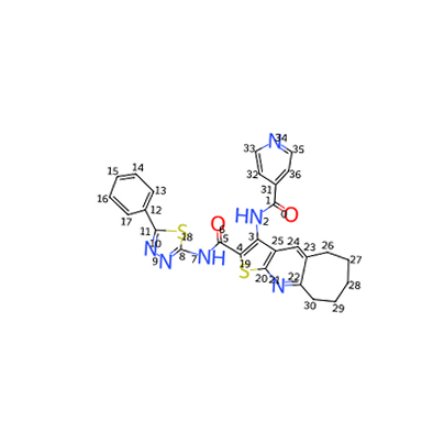 O=C(Nc1c(C(=O)Nc2nnc(-c3ccccc3)s2)sc2nc3c(cc12)CCCCC3)c1ccncc1